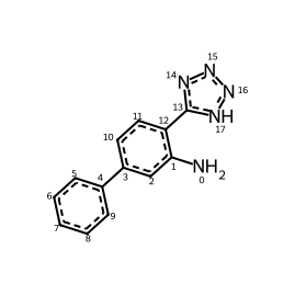 Nc1cc(-c2ccccc2)ccc1-c1nnn[nH]1